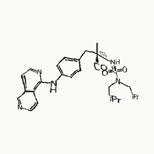 CC(C)CN(CC(C)C)S(=O)(=O)N[C@@](C)(Cc1ccc(Nc2nccc3cnccc23)cc1)C(=O)O